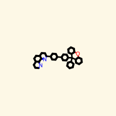 c1ccc(C2(c3ccc(-c4ccc(-c5ccc6ccc7cccnc7c6n5)cc4)cc3)c3ccccc3Oc3ccccc32)cc1